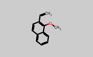 C=Cc1ccc2ccccc2c1OC